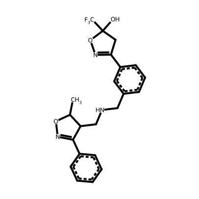 CC1ON=C(c2ccccc2)C1CNCc1cccc(C2=NOC(O)(C(F)(F)F)C2)c1